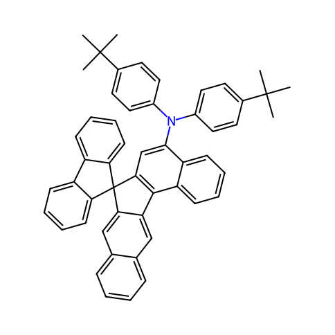 CC(C)(C)c1ccc(N(c2ccc(C(C)(C)C)cc2)c2cc3c(c4ccccc24)-c2cc4ccccc4cc2C32c3ccccc3-c3ccccc32)cc1